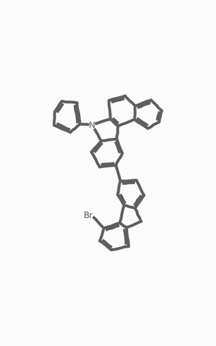 Brc1cccc2c1-c1cc(-c3ccc4c(c3)c3c5ccccc5ccc3n4-c3ccccc3)ccc1C2